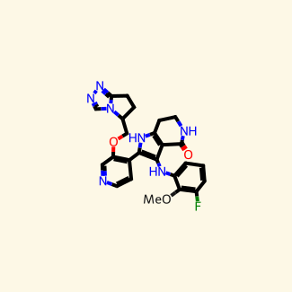 COc1c(F)cccc1Nc1c(-c2ccncc2OCC2CCc3nncn32)[nH]c2c1C(=O)NCC2